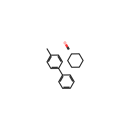 C1CCCCC1.C=O.Cc1ccc(-c2ccccc2)cc1